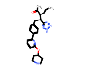 CCC[C@H](C(C)=O)[C@H](Cc1ccc(-c2cccc(OC3CCNCC3)n2)cc1)c1nn[nH]n1